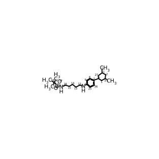 CC1CC(C)CC(c2ccc(NCCCCCNS(=O)(=O)C(C)(C)C)cc2)C1